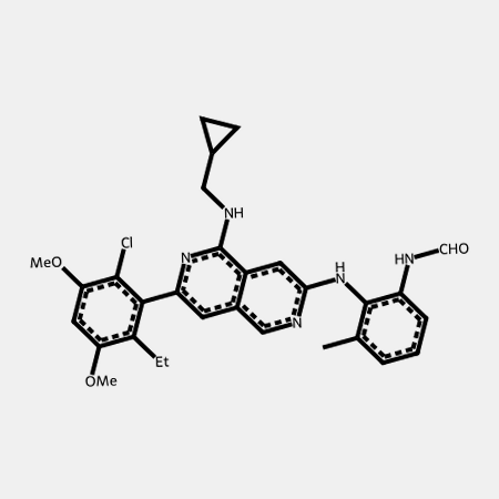 CCc1c(OC)cc(OC)c(Cl)c1-c1cc2cnc(Nc3c(C)cccc3NC=O)cc2c(NCC2CC2)n1